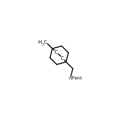 [CH2]C12CCC(CCCCCC)(CC1)CC2